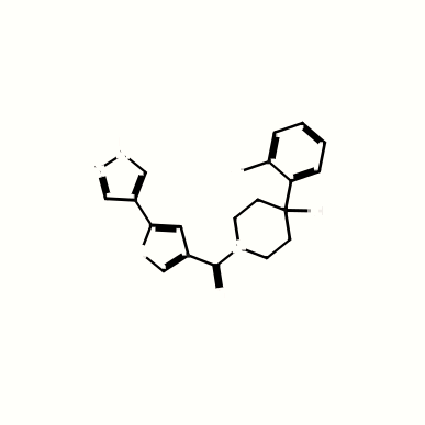 O=C(c1csc(-c2cn[nH]c2)c1)N1CCC(O)(c2ccccc2Cl)CC1